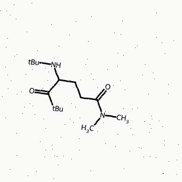 CN(C)C(=O)CCC(NC(C)(C)C)C(=O)C(C)(C)C